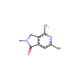 CC(C)c1cc2c(c(C(F)(F)F)n1)CN(C)C2=O